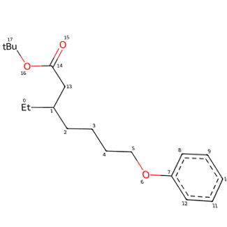 CCC(CCCCOc1ccccc1)CC(=O)OC(C)(C)C